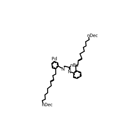 CCCCCCCCCCCCCCCCC=CCCc1ccccc1N=CC(CCCC)=Nc1ccccc1CCC=CCCCCCCCCCCCCCCCC.[Pd]